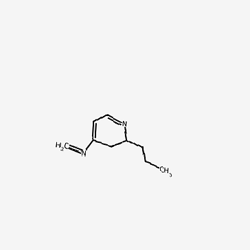 C=NC1=CC=NC(CCC)C1